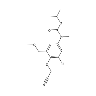 COCc1cc(N(C)C(=O)OC(C)C)cc(Cl)c1OCC#N